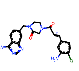 Nc1cc(/C=C/C(=O)N2CCN(Cc3ccc4c(N)ncnc4c3)C(=O)C2)ccc1Cl